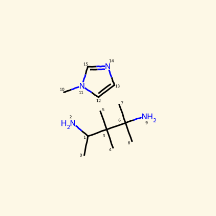 CC(N)C(C)(C)C(C)(C)N.Cn1ccnc1